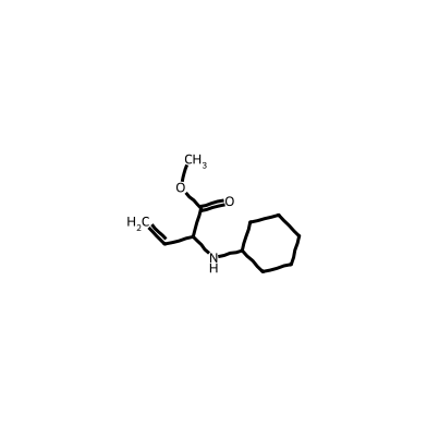 C=CC(NC1CCCCC1)C(=O)OC